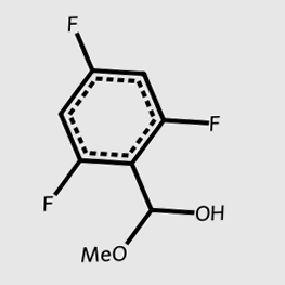 COC(O)c1c(F)cc(F)cc1F